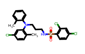 Cc1ccccc1N(CCCNS(=O)(=O)c1ccc(Cl)cc1Cl)c1cc(Cl)ccc1C